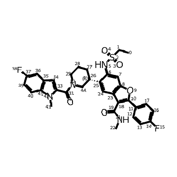 CCS(=O)(=O)Nc1cc2oc(-c3ccc(F)cc3)c(C(=O)NC)c2cc1[C@H]1CCCN(C(=O)c2cc3cc(F)ccc3n2C)C1